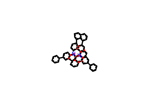 c1ccc(-c2ccc(N(c3ccc(-c4cccc5cccc(-c6ccc(N(c7ccc(-c8ccccc8)cc7)c7cccc8ccccc78)cc6)c45)cc3)c3cccc4ccccc34)cc2)cc1